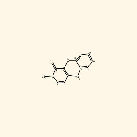 O=C1C2=C(C=CC1Cl)Oc1ccccc1O2